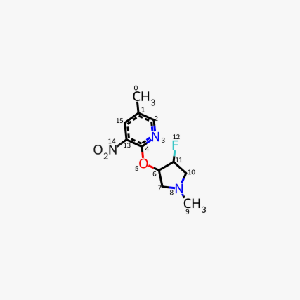 Cc1cnc(OC2CN(C)CC2F)c([N+](=O)[O-])c1